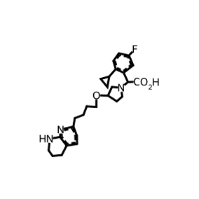 O=C(O)C(c1cc(F)ccc1C1CC1)N1CCC(OCCCCc2ccc3c(n2)NCCC3)C1